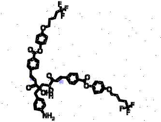 Nc1ccc(CC(O)(CC(O)C(=O)/C=C/c2ccc(C(=O)Oc3ccc(OCCCCC(F)(F)F)cc3)cc2)C(=O)/C=C/c2ccc(C(=O)Oc3ccc(OCCCCC(F)(F)F)cc3)cc2)cc1